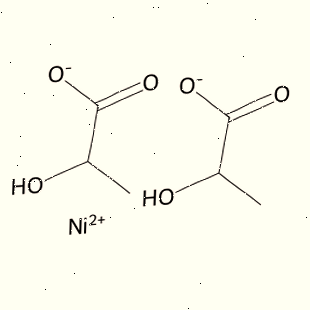 CC(O)C(=O)[O-].CC(O)C(=O)[O-].[Ni+2]